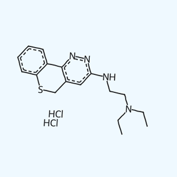 CCN(CC)CCNc1cc2c(nn1)-c1ccccc1SC2.Cl.Cl